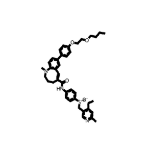 CCCCOCCOc1ccc(-c2ccc3c(c2)/C=C(/C(=O)Nc2ccc([S@@+]([O-])Cc4cnc(C)cc4CC)cc2)CCCN3C)cc1